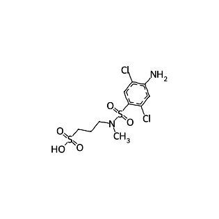 CN(CCCS(=O)(=O)O)S(=O)(=O)c1cc(Cl)c(N)cc1Cl